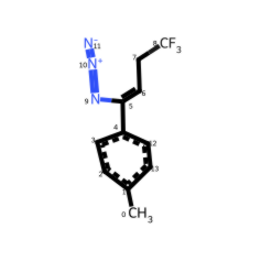 Cc1ccc(C(=CCC(F)(F)F)N=[N+]=[N-])cc1